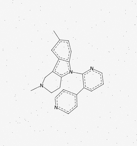 Cc1ccc2c(c1)c1c(n2-c2ncccc2-c2ccncc2)CCN(C)C1